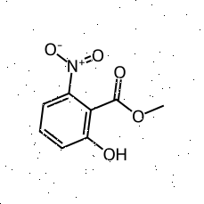 COC(=O)c1c(O)cccc1[N+](=O)[O-]